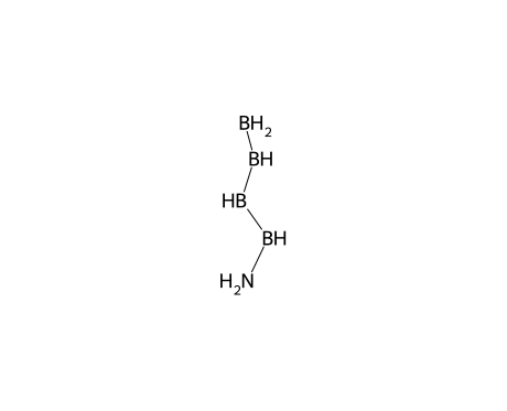 BBBBN